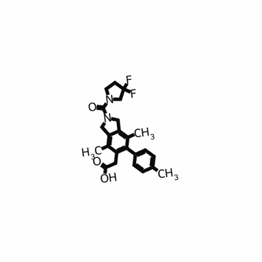 Cc1ccc(-c2c(C)c3c(c(C)c2CC(=O)O)CN(C(=O)N2CCC(F)(F)C2)C3)cc1